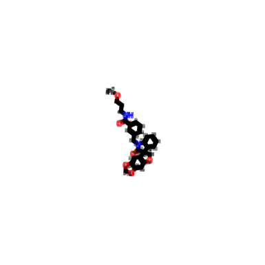 CC(C)OCCCNC(=O)c1cccc(CN2C(=O)C3(COc4cc5c(cc43)OCO5)c3ccccc32)c1